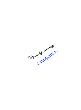 CC[CH2][Al+][CH2]CC.[N-]=[N+]=[N-]